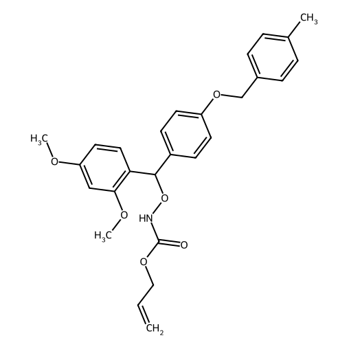 C=CCOC(=O)NOC(c1ccc(OCc2ccc(C)cc2)cc1)c1ccc(OC)cc1OC